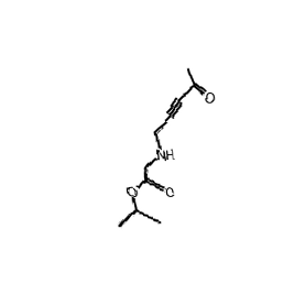 CC(=O)C#CCNCC(=O)OC(C)C